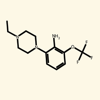 CCN1CCN(c2cccc(OC(F)(F)F)c2N)CC1